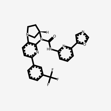 O=C(Nc1cccc(-c2cnco2)n1)N1c2nc(-c3cccc(C(F)(F)F)c3)ccc2N2CC[C@H]1C2